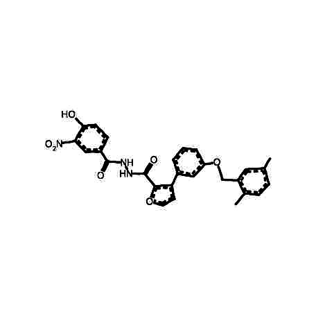 Cc1ccc(C)c(COc2cccc(-c3ccoc3C(=O)NNC(=O)c3ccc(O)c([N+](=O)[O-])c3)c2)c1